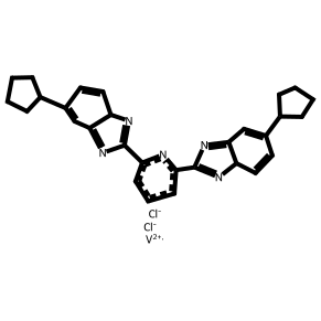 C1=CC2N=C(c3cccc(C4=NC5C=CC(C6CCCC6)=CC5=N4)n3)N=C2C=C1C1CCCC1.[Cl-].[Cl-].[V+2]